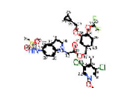 CO[n+]1cc(Cl)c(C[C@H](OC(=O)CN2CCc3cc(NS(C)(=O)=O)ccc32)c2ccc(OC(F)F)c(OCC3CC3)c2)c(Cl)c1